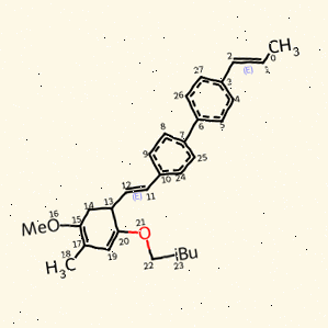 C/C=C/c1ccc(-c2ccc(/C=C/C3CC(OC)=C(C)C=C3OCC(C)CC)cc2)cc1